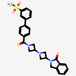 CS(=O)(=O)c1cccc(-c2ccc(C(=O)N3CC(N4CC(N5Cc6ccccc6C5=O)C4)C3)cc2)c1